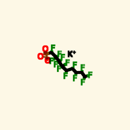 O=S(=O)([O-])C(F)C(F)(F)C(F)(F)C(F)(F)C(F)C(F)C(F)C(F)C(F)F.[K+]